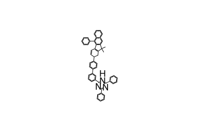 CC1(C)C2=C(C=CC(c3ccc(-c4cccc(C5=NC(c6ccccc6)=NC(c6ccccc6)N5)c4)cc3)C2)c2c1cc1ccccc1c2-c1ccccc1